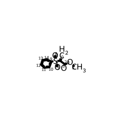 C=C(C(=O)OC)S(=O)(=O)c1ccccc1